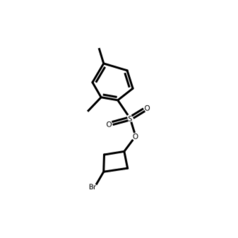 Cc1ccc(S(=O)(=O)OC2CC(Br)C2)c(C)c1